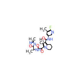 Cc1noc(C(C)NC(=O)C(=O)c2c(C)c(C(=O)Nc3cnc(F)c(C)c3)c3n2CCCC3)n1